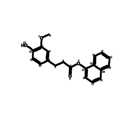 COc1cc(CCC(=O)Oc2cccc3ccccc23)ccc1O